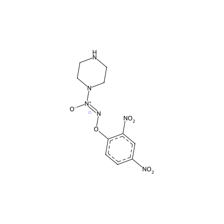 O=[N+]([O-])c1ccc(O/N=[N+](\[O-])N2CCNCC2)c([N+](=O)[O-])c1